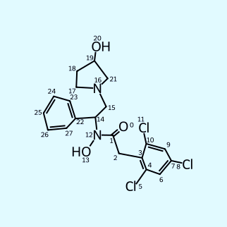 O=C(Cc1c(Cl)cc(Cl)cc1Cl)N(O)C(CN1CCC(O)C1)c1ccccc1